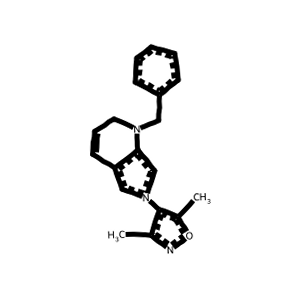 Cc1noc(C)c1-n1cc2c(c1)N(Cc1ccccc1)CC=C2